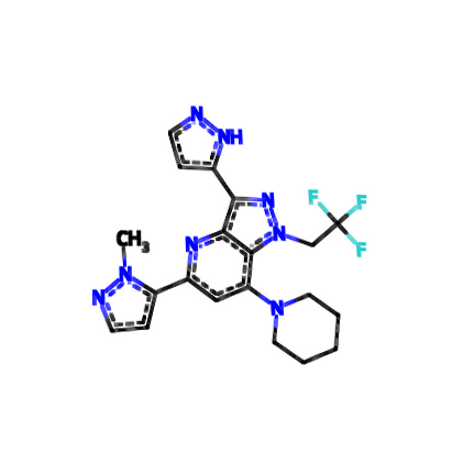 Cn1nccc1-c1cc(N2CCCCC2)c2c(n1)c(-c1ccn[nH]1)nn2CC(F)(F)F